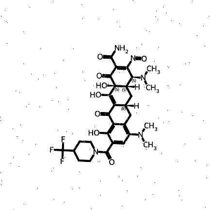 CN(C)c1cc(C(=O)N2CCC(C(F)(F)F)CC2)c(O)c2c1C[C@H]1C[C@H]3[C@H](N(C)C)C(N=O)=C(C(N)=O)C(=O)[C@@]3(O)C(O)=C1C2=O